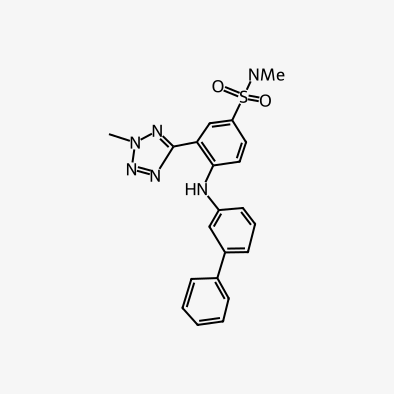 CNS(=O)(=O)c1ccc(Nc2cccc(-c3ccccc3)c2)c(-c2nnn(C)n2)c1